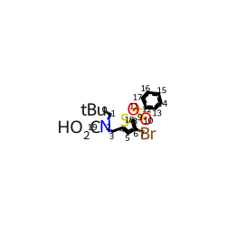 CC(C)(C)CN(Cc1cc(Br)c(S(=O)(=O)c2ccccc2)s1)C(=O)O